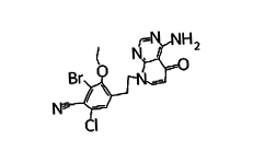 CCOc1c(CCn2ccc(=O)c3c(N)ncnc32)cc(Cl)c(C#N)c1Br